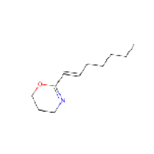 CCCCCC=CC1=NCCCO1